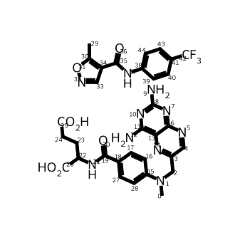 CN(Cc1cnc2nc(N)nc(N)c2n1)c1ccc(C(=O)NC(CCC(=O)O)C(=O)O)cc1.Cc1oncc1C(=O)Nc1ccc(C(F)(F)F)cc1